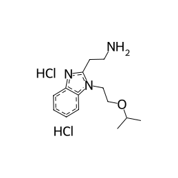 CC(C)OCCn1c(CCN)nc2ccccc21.Cl.Cl